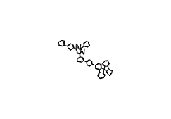 c1ccc(-c2ccc(-c3cc(-c4cccc(-c5ccc(-c6ccc7c(c6)-c6ccccc6C76c7ccccc7-c7ccccc76)cc5)c4)nc(-c4ccccc4)n3)cc2)cc1